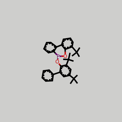 CC(C)(C)c1cc(-c2ccccc2)c(OP2Oc3c(cccc3C(C)(C)C)-c3ccccc32)c(C(C)(C)C)c1